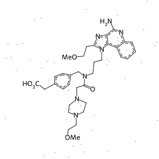 COCCc1nc2c(N)nc3ccccc3c2n1CCCN(Cc1ccc(CC(=O)O)cc1)C(=O)CN1CCN(CCOC)CC1